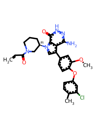 C=CC(=O)N1CCC[C@@H](n2cc(-c3ccc(Oc4ccc(C)c(Cl)c4)c(OC)c3)c3c(N)n[nH]c(=O)c32)C1